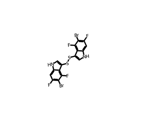 Fc1cc2[nH]cc(SSc3c[nH]c4cc(F)c(Br)c(F)c34)c2c(F)c1Br